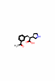 CC(=O)c1cccc(C[C@H](C(=O)O)[C@H]2CCNC2)c1